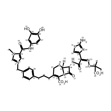 Cn1c[n+](Cc2ccc(CCCC3=C(C(=O)O)N4C(=O)[C@@H](NC(=O)/C(=N\OC(C)(C)C(=O)O)c5csc(N)n5)[C@H]4SC3)cc2)cc1C(=O)Nc1ccc(O)c(O)c1